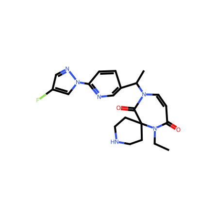 CCN1C(=O)C=CN(C(C)c2ccc(-n3cc(F)cn3)nc2)C(=O)C12CCNCC2